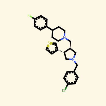 Fc1ccc(C2CCN(C[C@H]3CN(Cc4ccc(Cl)cc4)C[C@@H]3c3ccsc3)CC2)cc1